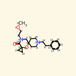 COCCN1CC2(CCN(CCc3ccccc3)CC2)OC2(CC2)C1=O